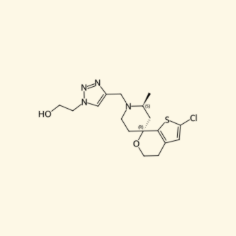 C[C@H]1C[C@@]2(CCN1Cc1cn(CCO)nn1)OCCc1cc(Cl)sc12